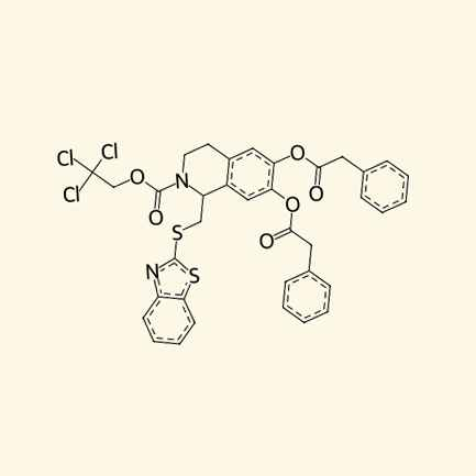 O=C(Cc1ccccc1)Oc1cc2c(cc1OC(=O)Cc1ccccc1)C(CSc1nc3ccccc3s1)N(C(=O)OCC(Cl)(Cl)Cl)CC2